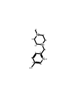 CN1CCN(Cc2ccc(I)cn2)CC1